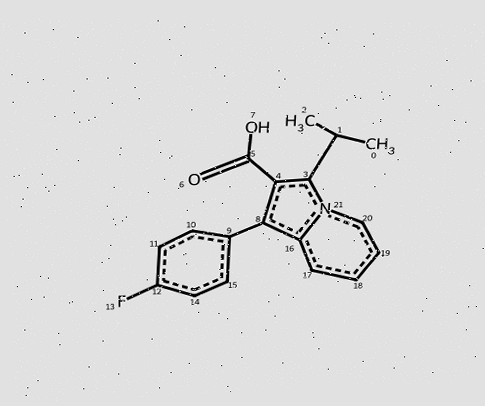 CC(C)c1c(C(=O)O)c(-c2ccc(F)cc2)c2ccccn12